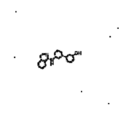 Oc1cccc(-c2cccc(Nc3nccc4ccccc34)c2)c1